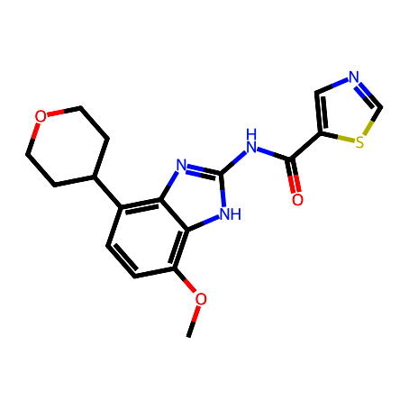 COc1ccc(C2CCOCC2)c2nc(NC(=O)c3cncs3)[nH]c12